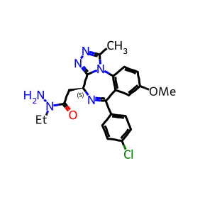 CCN(N)C(=O)C[C@@H]1N=C(c2ccc(Cl)cc2)c2cc(OC)ccc2-n2c(C)nnc21